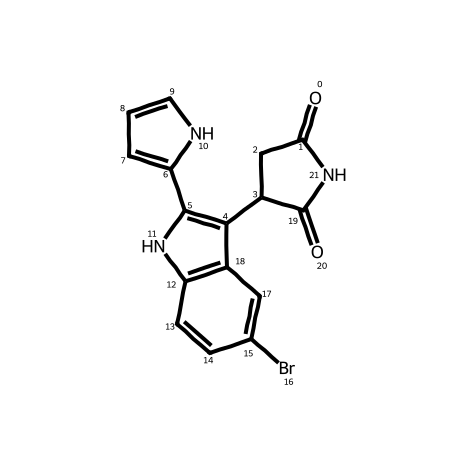 O=C1CC(c2c(-c3ccc[nH]3)[nH]c3ccc(Br)cc23)C(=O)N1